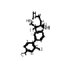 Clc1ccc(-c2ccc3c(c2)[C@@H]2CNNCC[C@@H]2N3)c(Cl)c1